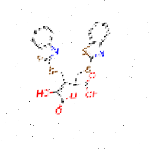 O=C1OC(CSc2nc3ccccc3s2)(C(=O)O)C(CSc2nc3ccccc3s2)=C1O